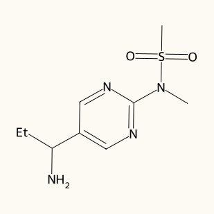 CCC(N)c1cnc(N(C)S(C)(=O)=O)nc1